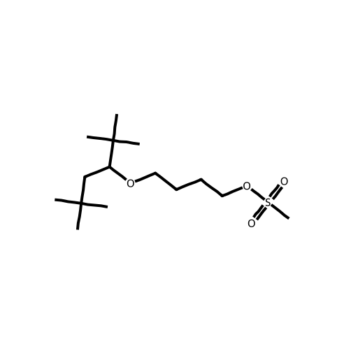 CC(C)(C)CC(OCCCCOS(C)(=O)=O)C(C)(C)C